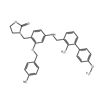 Cc1c(CNc2ccc(CN3CCOC3=O)c(OCc3ccc(C#N)cc3)c2)cccc1-c1ccc(OC(F)(F)F)cc1